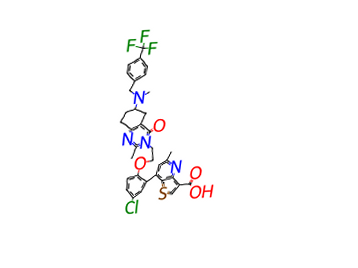 Cc1cc(-c2cc(Cl)ccc2OCCn2c(C)nc3c(c2=O)CC(N(C)Cc2ccc(C(F)(F)F)cc2)CC3)c2scc(C(=O)O)c2n1